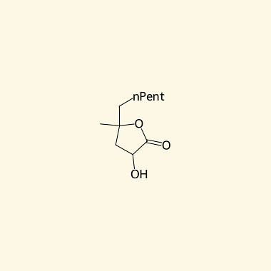 CCCCCCC1(C)CC(O)C(=O)O1